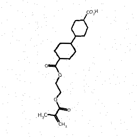 C=C(C)C(=O)OCCOC(=O)C1CCC(C2CCC(C(=O)O)CC2)CC1